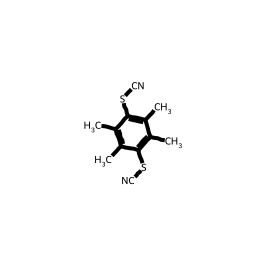 Cc1c(C)c(SC#N)c(C)c(C)c1SC#N